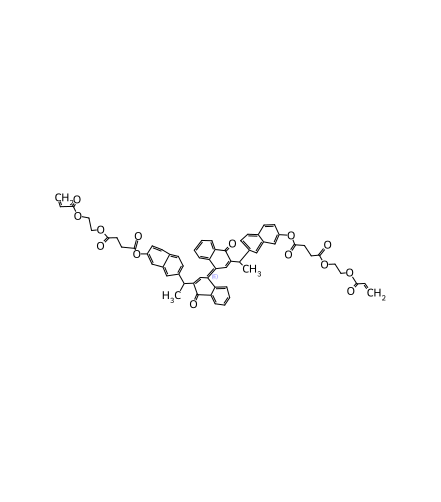 C=CC(=O)OCCOC(=O)CCC(=O)Oc1ccc2ccc(C(C)C3=C/C(=C4/C=C(C(C)c5ccc6ccc(OC(=O)CCC(=O)OCCOC(=O)C=C)cc6c5)C(=O)c5ccccc54)c4ccccc4C3=O)cc2c1